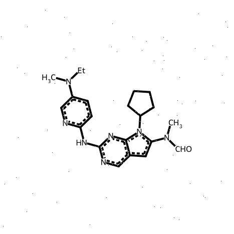 CCN(C)c1ccc(Nc2ncc3cc(N(C)C=O)n(C4CCCC4)c3n2)nc1